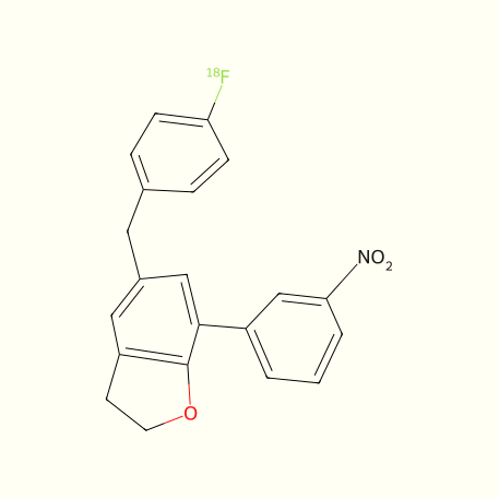 O=[N+]([O-])c1cccc(-c2cc(Cc3ccc([18F])cc3)cc3c2OCC3)c1